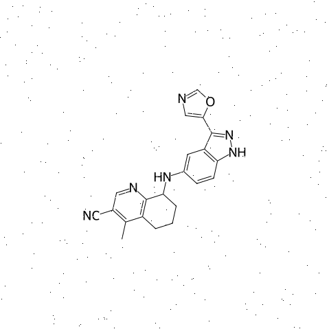 Cc1c(C#N)cnc2c1CCCC2Nc1ccc2[nH]nc(-c3cnco3)c2c1